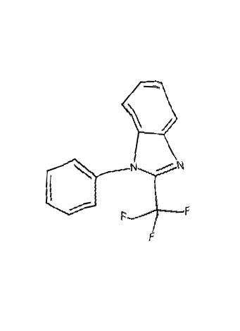 FC(F)(F)c1nc2ccccc2n1-c1ccccc1